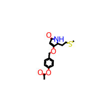 CSCCC1NC(=O)C=C1OCc1ccc(OC(C)=O)cc1